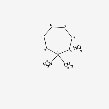 CC1(N)CCCCCC1.Cl